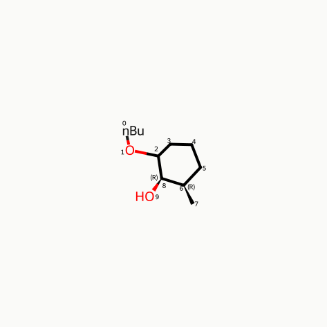 CCCCOC1CCC[C@@H](C)[C@H]1O